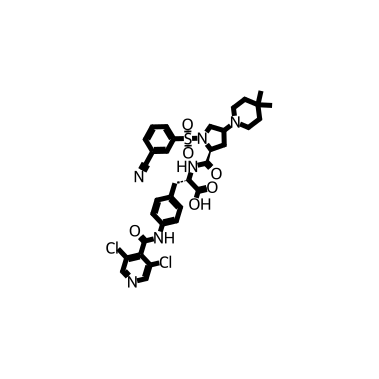 CC1(C)CCN(C2C[C@@H](C(=O)N[C@@H](Cc3ccc(NC(=O)c4c(Cl)cncc4Cl)cc3)C(=O)O)N(S(=O)(=O)c3cccc(C#N)c3)C2)CC1